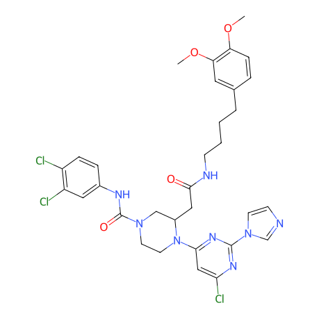 COc1ccc(CCCCNC(=O)CC2CN(C(=O)Nc3ccc(Cl)c(Cl)c3)CCN2c2cc(Cl)nc(-n3ccnc3)n2)cc1OC